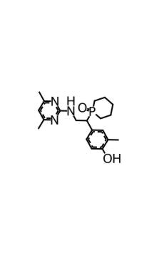 Cc1cc(C)nc(NCC(c2ccc(O)c(C)c2)P2(=O)CCCCC2)n1